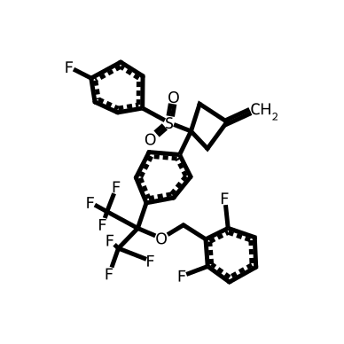 C=C1CC(c2ccc(C(OCc3c(F)cccc3F)(C(F)(F)F)C(F)(F)F)cc2)(S(=O)(=O)c2ccc(F)cc2)C1